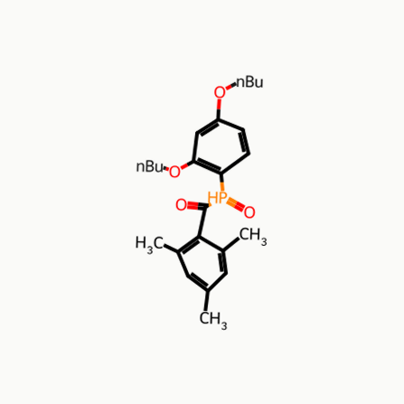 CCCCOc1ccc([PH](=O)C(=O)c2c(C)cc(C)cc2C)c(OCCCC)c1